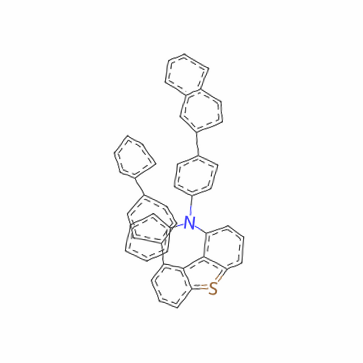 c1ccc(-c2ccc(-c3cccc4sc5cccc(N(c6ccccc6)c6ccc(-c7ccc8ccccc8c7)cc6)c5c34)cc2)cc1